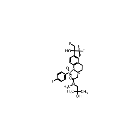 CN(CC(C)(C)O)C(=O)C[C@@H]1CCc2cc(C(O)(CF)C(F)(F)F)ccc2N1S(=O)(=O)c1ccc(F)cc1